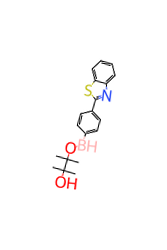 CC(C)(O)C(C)(C)OBc1ccc(-c2nc3ccccc3s2)cc1